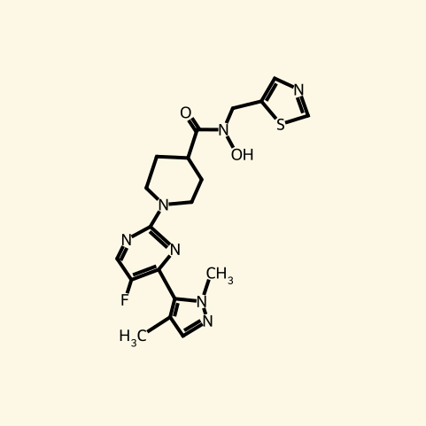 Cc1cnn(C)c1-c1nc(N2CCC(C(=O)N(O)Cc3cncs3)CC2)ncc1F